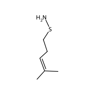 CC(C)=CCCSN